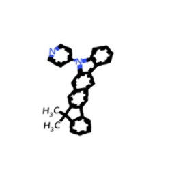 CC1(C)c2ccccc2-c2cc3cc4c5ccccc5n(-c5ccncc5)c4cc3cc21